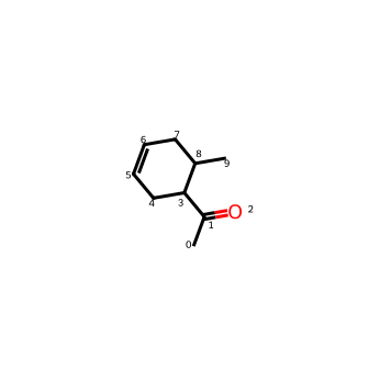 CC(=O)C1CC=CCC1C